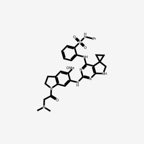 COc1cc2c(cc1Nc1nc3c(c(Nc4ccccc4S(=O)(=O)NC(C)C)n1)C1(CC1)CN3)N(C(=O)CN(C)C)CC2